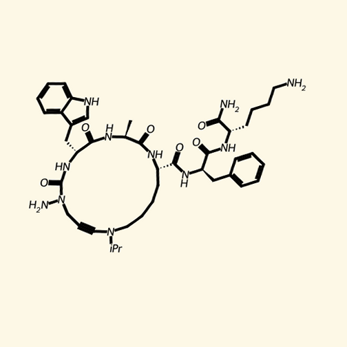 CC(C)N1C#CCN(N)C(=O)N[C@H](Cc2c[nH]c3ccccc23)C(=O)N[C@@H](C)C(=O)N[C@H](C(=O)N[C@H](Cc2ccccc2)C(=O)N[C@@H](CCCCN)C(N)=O)CCCC1